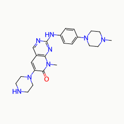 CN1CCN(c2ccc(Nc3ncc4cc(N5CCNCC5)c(=O)n(C)c4n3)cc2)CC1